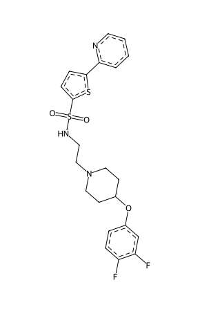 O=S(=O)(NCCN1CCC(Oc2ccc(F)c(F)c2)CC1)c1ccc(-c2ccccn2)s1